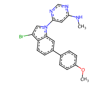 CNc1cc(-n2cc(Br)c3ccc(-c4ccc(OC)cc4)cc32)ncn1